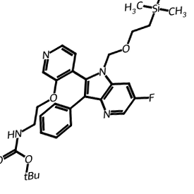 CC(C)(C)OC(=O)NCCOc1cnccc1-c1c(-c2ccccc2)c2ncc(F)cc2n1COCC[Si](C)(C)C